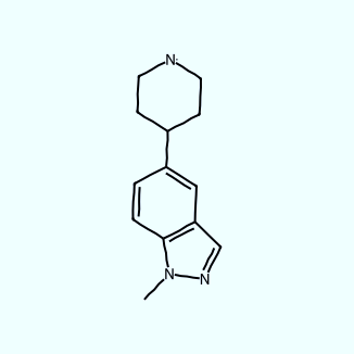 Cn1ncc2cc(C3CC[N]CC3)ccc21